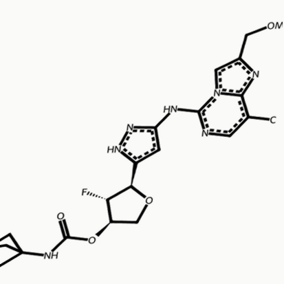 COCc1cn2c(Nc3cc([C@H]4OC[C@@H](OC(=O)NC56CC(C5)C6)[C@@H]4F)[nH]n3)ncc(C#N)c2n1